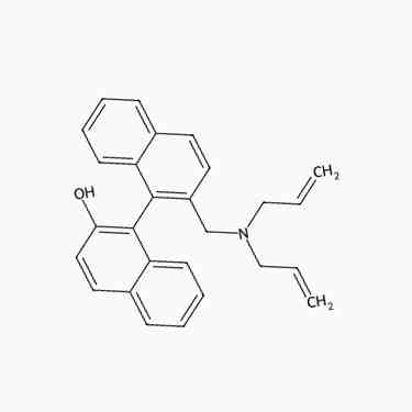 C=CCN(CC=C)Cc1ccc2ccccc2c1-c1c(O)ccc2ccccc12